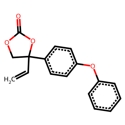 C=CC1(c2ccc(Oc3ccccc3)cc2)COC(=O)O1